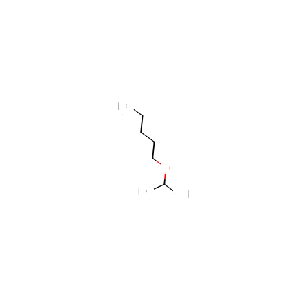 [CH2]CCC[CH]OC(C)C